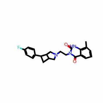 Cc1cccc2c(=O)n(CCN3CC4CC(c5ccc(F)cc5)C4C3)c(=O)[nH]c12